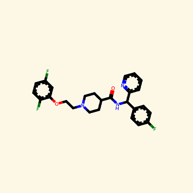 O=C(NC(c1ccc(F)cc1)c1ccccn1)C1CCN(CCOc2cc(F)ccc2F)CC1